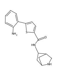 Nc1ccccc1-c1ccc(C(=O)NC2CC3CC2CN3)s1